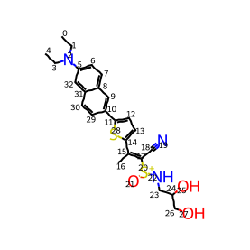 CCN(CC)c1ccc2cc(-c3ccc(/C(C)=C(\C#N)[S+]([O-])NCC(O)CO)s3)ccc2c1